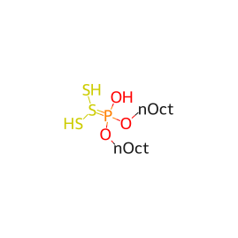 CCCCCCCCOP(O)(OCCCCCCCC)=S(S)S